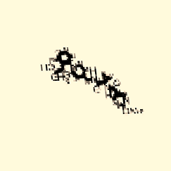 COc1ncc(C(=O)NC2(C(=O)NCC3CCN(c4cccc(F)c4C(=O)C(C)O)CC3)CC2)cn1